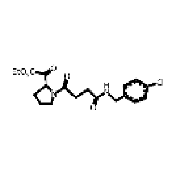 CCOC(=O)C(=O)[C@@H]1CCCN1C(=O)CCC(=O)NCc1ccc(Cl)cc1